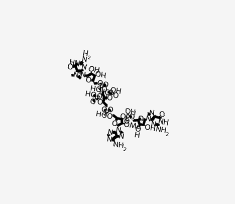 CO[C@@H]1[C@H](OP(=O)(O)OCC2O[C@@H](n3cnc4c(=O)[nH]c(N)nc43)[C@H](O)[C@@H]2O)C(COP(=O)(O)OCC(OP(=O)(O)O)C(COP(=O)(O)OC[C@H]2OC(n3c[n+](C)c4c(=O)[nH]c(N)nc43)[C@H](O)[C@@H]2O)OP(=O)(O)O)O[C@H]1n1cnc2c(N)ncnc21